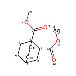 COC(=O)C12CCC(CC1)CC2.O=C[O][Ag]